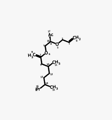 C=CCO[C@@H](COC(=C)CC(C)CCC(C)C(C)C)C(C)=O